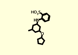 CC1CC(Nc2ccccc2S(=O)(=O)O)CC(OC2CCCC2)C1